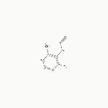 C=CCc1c(C)[c]ccc1O